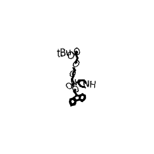 CC(C)(C)OC(=O)CCOCCOCCN(C(=O)OCC1c2ccccc2-c2ccccc21)C1CCNCC1